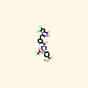 CC(=O)c1ccc([N+]2(OC(=O)C(F)(F)F)CCN(C(=O)c3cc(Cc4c[nH]c(=O)c5cc(Cl)c(Cl)n45)ccc3F)CC2)cc1